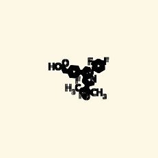 Cc1noc(C)c1-c1cnc2c(c1)c(-c1ccc(CC(=O)O)cc1F)cn2-c1ccc(F)cc1F